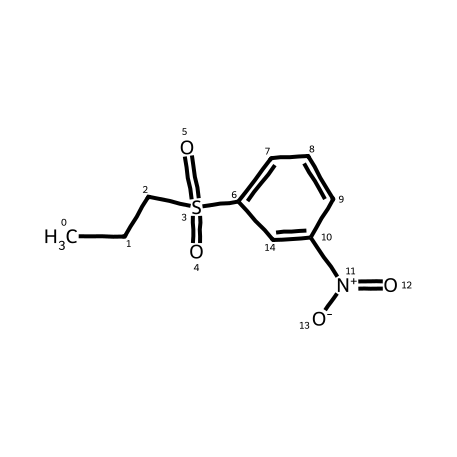 CCCS(=O)(=O)c1cccc([N+](=O)[O-])c1